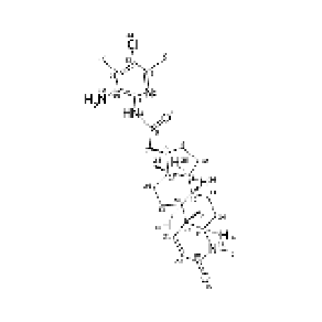 Cc1nc(NC(=O)C[C@H]2CC[C@H]3[C@@H]4CC[C@H]5N(C)C(=O)C=C[C@]5(C)[C@H]4CC[C@]23C)c(N)c(C)c1Cl